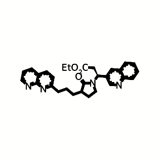 CCOC(=O)C[C@@H](c1cnc2ccccc2c1)N1CCC(CCCc2ccc3cccnc3n2)C1=O